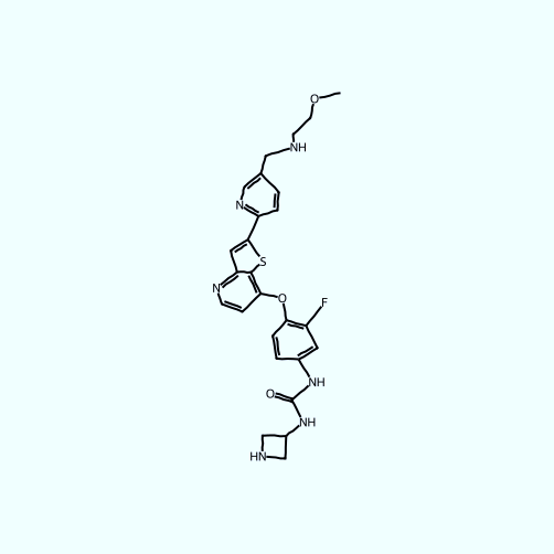 COCCNCc1ccc(-c2cc3nccc(Oc4ccc(NC(=O)NC5CNC5)cc4F)c3s2)nc1